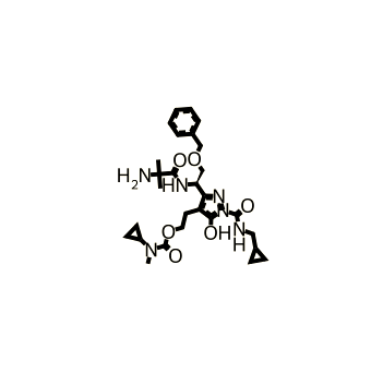 CN(C(=O)OCCc1c([C@H](COCc2ccccc2)NC(=O)C(C)(C)N)nn(C(=O)NCC2CC2)c1O)C1CC1